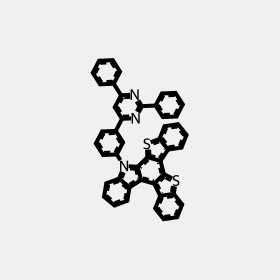 c1ccc(-c2cc(-c3cccc(-n4c5ccccc5c5c6c7ccccc7sc6c6c7ccccc7sc6c54)c3)nc(-c3ccccc3)n2)cc1